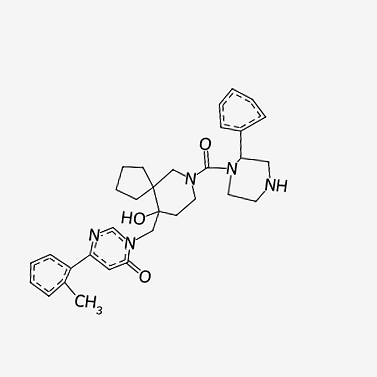 Cc1ccccc1-c1cc(=O)n(CC2(O)CCN(C(=O)N3CCNCC3c3ccccc3)CC23CCCC3)cn1